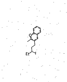 CCC(I)CCc1cc2ccccc2[o+]c1C